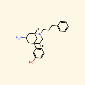 C[C@@H]1CN(CCCc2ccccc2)[C@H]2C[C@H](N)C[C@]1(c1cccc(O)c1)C2